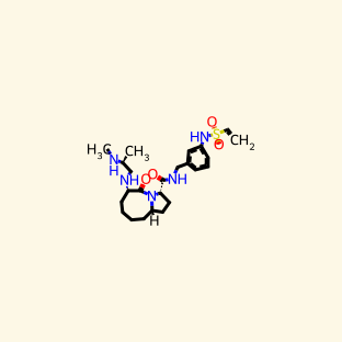 C=CS(=O)(=O)Nc1cccc(CNC(=O)[C@@H]2CC[C@@H]3CCCC[C@H](NC[C@H](C)NC)C(=O)N32)c1